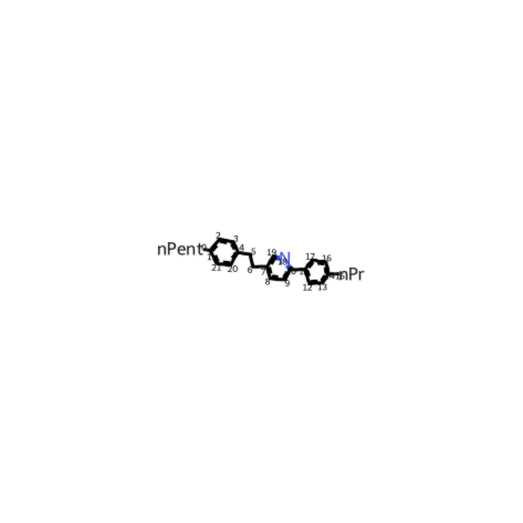 CCCCCc1ccc(CCc2ccc(-c3ccc(CCC)cc3)nc2)cc1